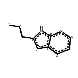 CCCc1cc2cccnc2[nH]1